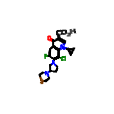 O=C(O)c1cn(C2CC2)c2c(Cl)c(N3CCC(N4CCSCC4)C3)c(F)cc2c1=O